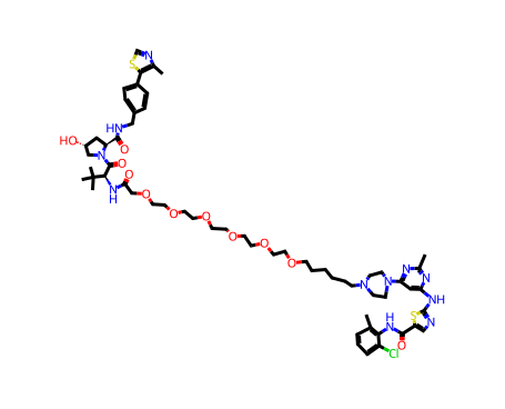 Cc1nc(Nc2ncc(C(=O)Nc3c(C)cccc3Cl)s2)cc(N2CCN(CCCCCCOCCOCCOCCOCCOCCOCC(=O)N[C@H](C(=O)N3C[C@H](O)C[C@H]3C(=O)NCc3ccc(-c4scnc4C)cc3)C(C)(C)C)CC2)n1